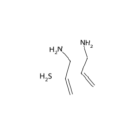 C=CCN.C=CCN.S